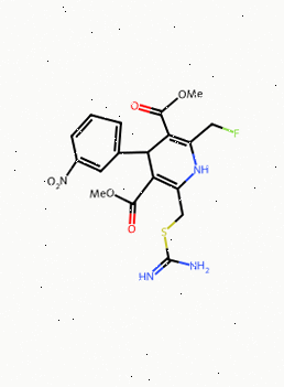 COC(=O)C1=C(CF)NC(CSC(=N)N)=C(C(=O)OC)C1c1cccc([N+](=O)[O-])c1